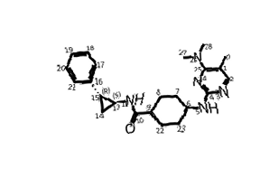 Cc1cnc(NC2CCC(C(=O)N[C@H]3C[C@@H]3c3ccccc3)CC2)nc1N(C)C